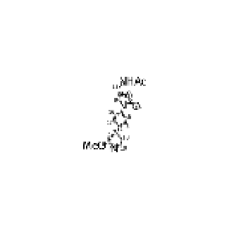 COc1cc(-c2ccc(N3C[C@H](CNC(C)=O)OC3=O)cc2)ccn1